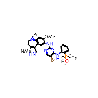 CNC1=C(C=N)c2cc(Nc3ncc(Br)c(Nc4ccccc4P(C)(C)=O)n3)c(OC)cc2N(C(C)C)CC1